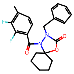 Cc1ccc(C(=O)N2N(Cc3ccccc3)C(=O)OC23CCCCC3)c(F)c1F